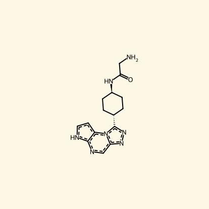 NCC(=O)N[C@H]1CC[C@H](c2nnc3cnc4[nH]ccc4n32)CC1